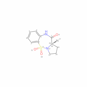 O=C1Nc2ccccc2S(=O)(=O)N2CCC[C@@H]12